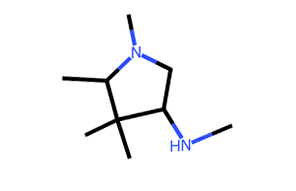 CNC1CN(C)C(C)C1(C)C